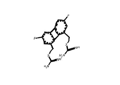 N=C(N)SCc1cc(F)cc2c1-c1c(CSC(=N)N)cc(F)cc1-2